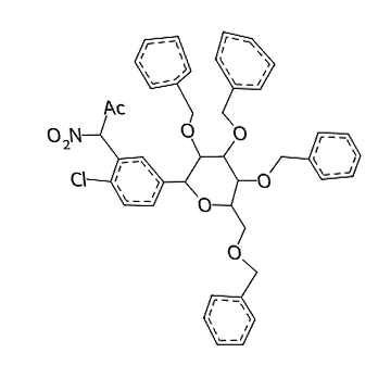 CC(=O)C(c1cc(C2OC(COCc3ccccc3)C(OCc3ccccc3)C(OCc3ccccc3)C2OCc2ccccc2)ccc1Cl)[N+](=O)[O-]